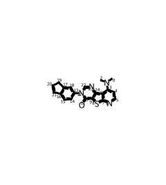 CN(C)c1ccnc2sc3c(=O)n(-c4ccc5c(c4)CC=C5)cnc3c12